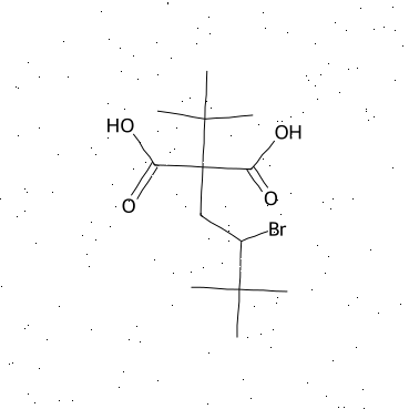 CC(C)(C)C(Br)CC(C(=O)O)(C(=O)O)C(C)(C)C